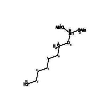 CO[SiH](OC)O[SiH2]CCCCCS